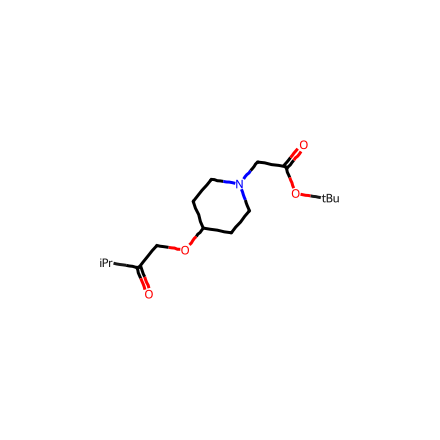 CC(C)C(=O)COC1CCN(CC(=O)OC(C)(C)C)CC1